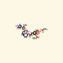 CC(C)(C)C(=O)OCOP(=O)(OCOC(=O)C(C)(C)C)C(F)(F)c1ccc2sc(C(=O)NC3CCCC[C@H]4CC[C@@H](C(=O)N5C[C@H](c6cc[nH]c(=O)c6)[C@@H](C#N)C5)N4C3=O)cc2c1